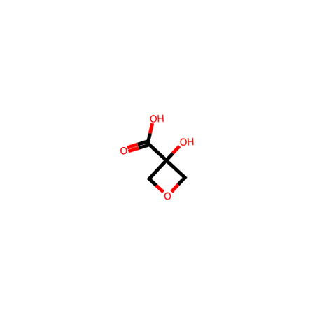 O=C(O)C1(O)COC1